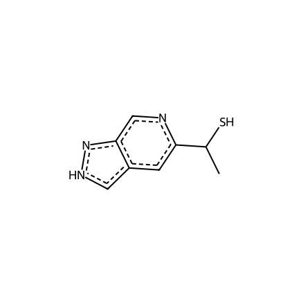 CC(S)c1cc2c[nH]nc2cn1